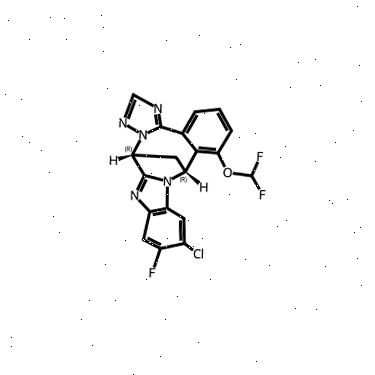 Fc1cc2nc3n(c2cc1Cl)[C@@H]1C[C@H]3n2ncnc2-c2cccc(OC(F)F)c21